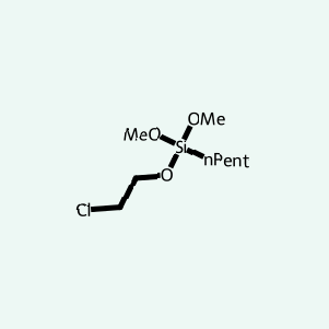 CCCCC[Si](OC)(OC)OCCCl